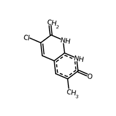 C=C1Nc2[nH]c(=O)c(C)cc2C=C1Cl